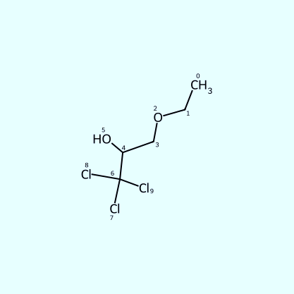 CCOCC(O)C(Cl)(Cl)Cl